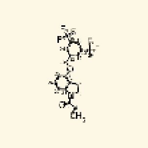 C=CC(=O)N1CCc2c(OCc3cc(C(F)(F)F)cc(C(F)(F)F)c3)cccc21